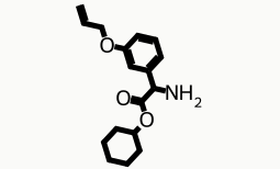 C=CCOc1cccc(C(N)C(=O)OC2CCCCC2)c1